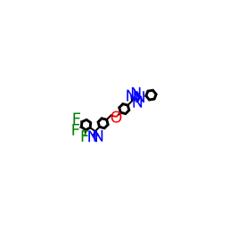 Fc1ccc(C2(c3ccc(COc4ccc(-c5nnn(-c6ccccc6)n5)cc4)cc3)N=N2)c(F)c1F